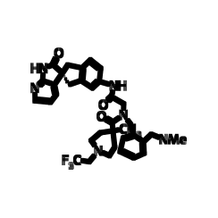 CNCc1ccccc1CN(CC(=O)Nc1ccc2c(c1)C[C@@]1(C2)C(=O)Nc2ncccc21)C(=O)C1(C)CCN(CC(F)(F)F)CC1